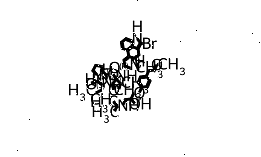 CC(C)C[C@H]1C(=O)N2CCC[C@H]2[C@]2(O)O[C@](NC(=O)[C@@H]3C=C4c5cccc6[nH]c(Br)c(c56)C[C@H]4N(C)C3)(C(C)C)C(=O)N12.COCCc1ccc(OCC(O)CNC(C)C)cc1